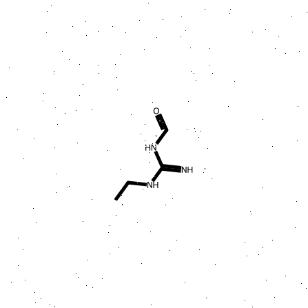 CCNC(=N)NC=O